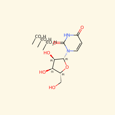 CC(=O)O.CC(=O)O.CC(=O)O.O=c1ccn([C@@H]2O[C@H](CO)[C@@H](O)[C@H]2O)c(=O)[nH]1